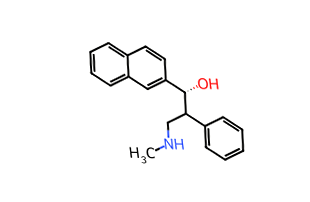 CNCC(c1ccccc1)[C@@H](O)c1ccc2ccccc2c1